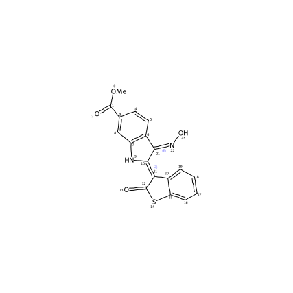 COC(=O)c1ccc2c(c1)NC(=C1\C(=O)Sc3ccccc31)/C2=N/O